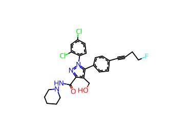 O=C(NN1CCCCC1)c1nn(-c2ccc(Cl)cc2Cl)c(-c2ccc(C#CCCF)cc2)c1CO